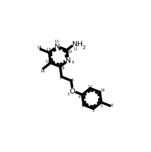 Cc1ccc(OCCc2nc(N)nc(C)c2C)cc1